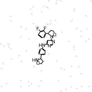 Fc1cccc(C2CCON2c2cc(Nc3ccc(C4CCON4)cc3)ncn2)c1F